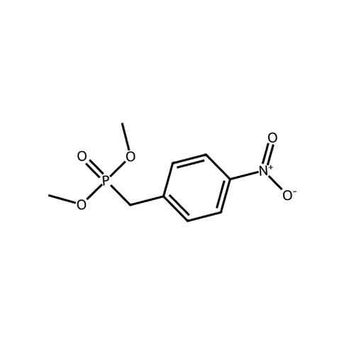 COP(=O)(Cc1ccc([N+](=O)[O-])cc1)OC